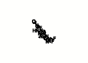 CNc1nc(N[C@@H]2CN(C3COC3)C[C@@H]2F)nn2ccc(-c3ccc4nnn(CC(F)F)c4n3)c12